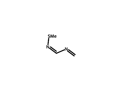 C=N/C=N\SC